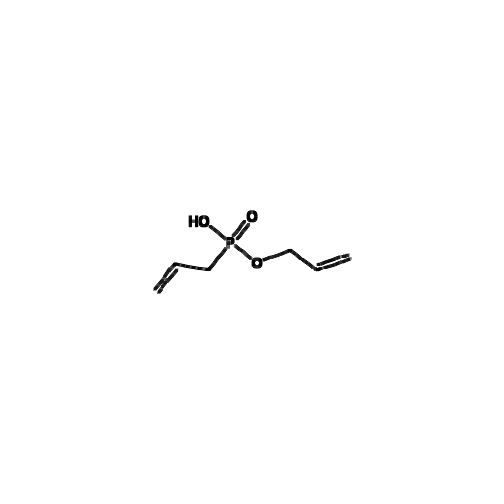 C=CCOP(=O)(O)CC=C